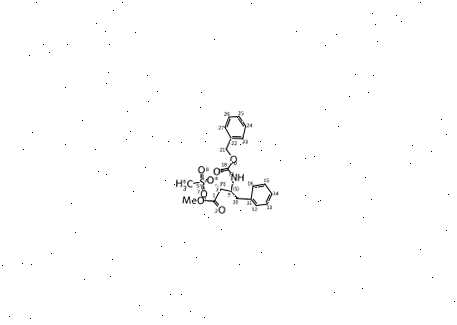 COC(=O)[C@H](OS(C)(=O)=O)[C@H](Cc1ccccc1)NC(=O)OCc1ccccc1